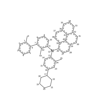 Cc1ccccc1-c1cccc(N(c2ccc(C3CCCCC3)cc2C)c2ccc3ccc4cccc5ccc2c3c45)c1C